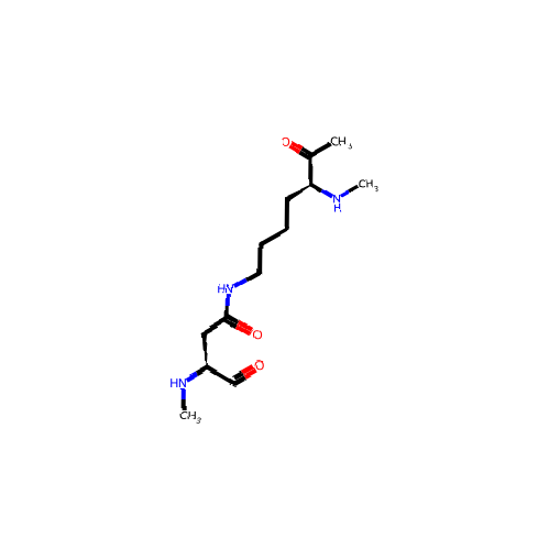 CN[C@H](C=O)CC(=O)NCCCC[C@H](NC)C(C)=O